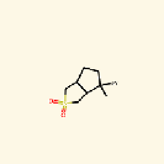 CC(C)C1(C)CCC2CS(=O)(=O)CC21